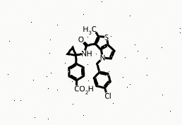 Cc1sc2ccn(Cc3ccc(Cl)cc3)c2c1C(=O)NC1(c2ccc(C(=O)O)cc2)CC1